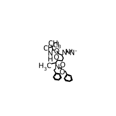 CCC(C1CCC(N=[N+]=[N-])C(OC(=N)C(C)(Cl)Cl)O1)N(Cc1ccccc1)C(=O)OCc1ccccc1